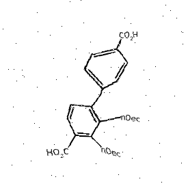 CCCCCCCCCCc1c(C(=O)O)ccc(-c2ccc(C(=O)O)cc2)c1CCCCCCCCCC